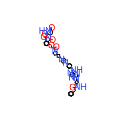 O=C1CC[C@H](N2C(=O)c3cccc(OCC(=O)N4CCC5(CC(N6CCN(c7ccc(Nc8ncnc9c8ncn9C8CC(NC(=O)Cc9ccccc9)C8)cc7)CC6)C5)C4)c3C2=O)C(=O)N1